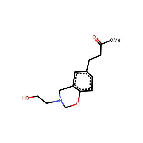 COC(=O)CCc1ccc2c(c1)CN(CCO)CO2